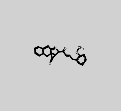 COc1ccccc1C/C=C/C(=O)C1N=C2C=C3C=CC=CC3CC23C(=O)C13